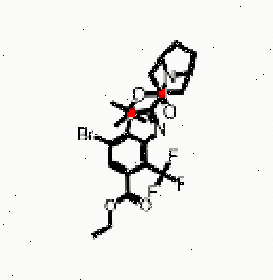 CCOC(=O)c1cc(Br)c2oc(N3CC4CCC(C3)N4C(=O)OC(C)(C)C)nc2c1C(F)(F)F